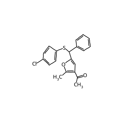 CC(=O)c1cc(C(Sc2ccc(Cl)cc2)c2ccccc2)oc1C